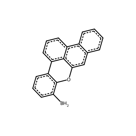 Bc1cccc2c1Oc1cc3ccccc3c3cccc-2c13